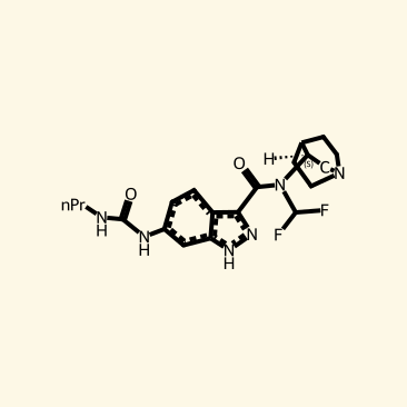 CCCNC(=O)Nc1ccc2c(C(=O)N(C(F)F)[C@@H]3CN4CCC3CC4)n[nH]c2c1